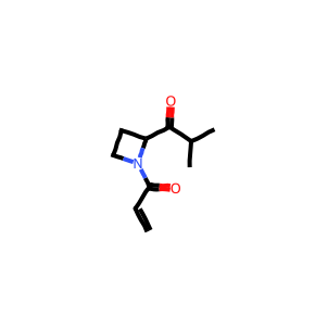 C=CC(=O)N1CCC1C(=O)C(C)C